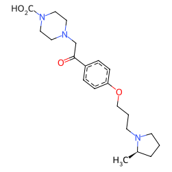 C[C@@H]1CCCN1CCCOc1ccc(C(=O)CN2CCN(C(=O)O)CC2)cc1